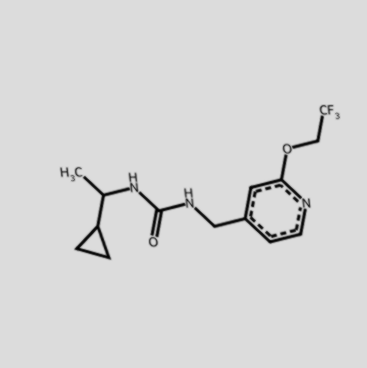 CC(NC(=O)NCc1ccnc(OCC(F)(F)F)c1)C1CC1